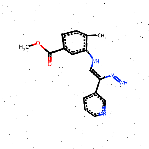 COC(=O)c1ccc(C)c(N/C=C(\N=N)c2cccnc2)c1